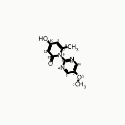 COc1cnc(-n2c(C)cc(O)cc2=O)nc1